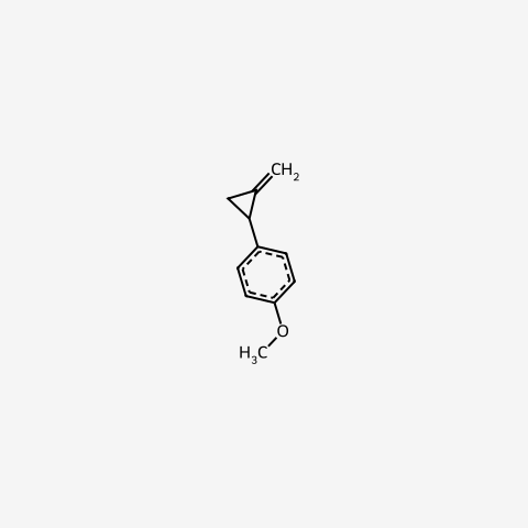 C=C1CC1c1ccc(OC)cc1